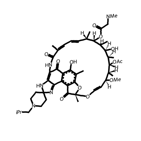 CNCC(=O)O[C@@H]1[C@@H](C)[C@@H](O)[C@@H](C)[C@H](OC(C)=O)[C@H](C)[C@@H](OC)/C=C/O[C@@]2(C)Oc3c(C)c(O)c4c(c3C2=O)C2=NC3(CCN(CC(C)C)CC3)NC2=C(NC(=O)/C(C)=C\C=C\[C@@H]1C)C4=O